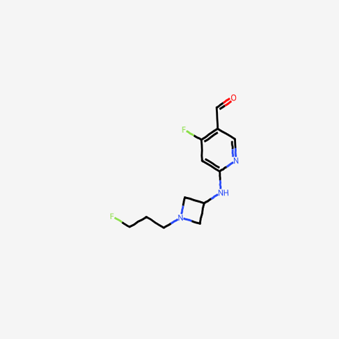 O=Cc1cnc(NC2CN(CCCF)C2)cc1F